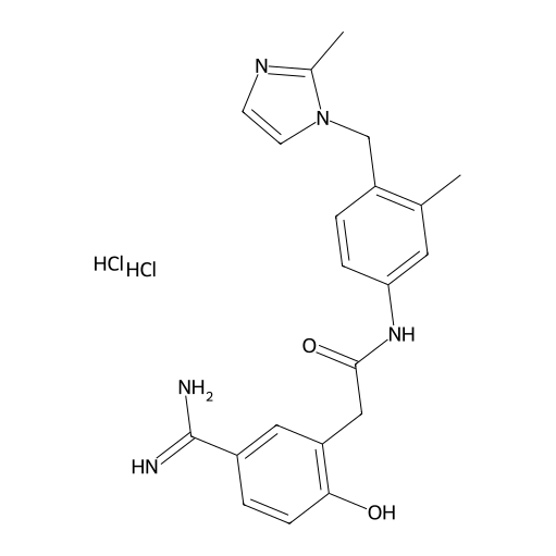 Cc1cc(NC(=O)Cc2cc(C(=N)N)ccc2O)ccc1Cn1ccnc1C.Cl.Cl